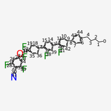 CCCCCc1ccc(-c2ccc(-c3ccc(-c4ccc(C(F)(F)Oc5cc(F)c(C#N)c(F)c5)cc4)c(F)c3)c(F)c2)cc1